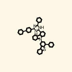 c1ccc(C2=NC(c3ccc(-c4ccccc4)cc3)NC(c3cccc4c3c3ccccc3n4-c3cc(-c4ccccc4)c4sc5ccccc5c4c3)N2)cc1